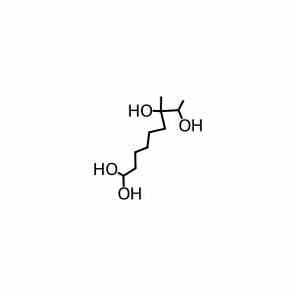 CC(O)C(C)(O)CCCCCC(O)O